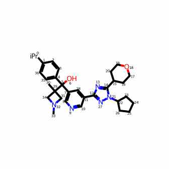 CC(C)c1ccc(C(O)(c2cncc(-c3nc(C4CCOCC4)n(C4CCCC4)n3)c2)C2(C)CN(C)C2)cc1